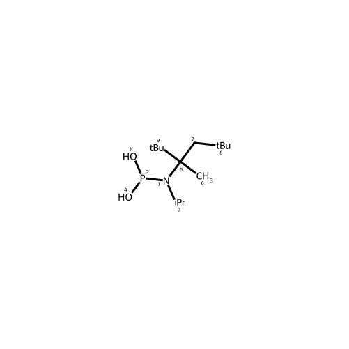 CC(C)N(P(O)O)C(C)(CC(C)(C)C)C(C)(C)C